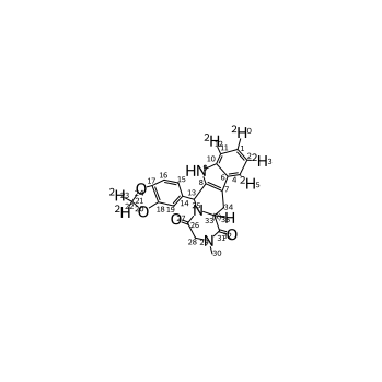 [2H]c1c([2H])c([2H])c2c3c([nH]c2c1[2H])C(c1ccc2c(c1)OC([2H])([2H])O2)N1C(=O)CN(C)C(=O)[C@H]1C3